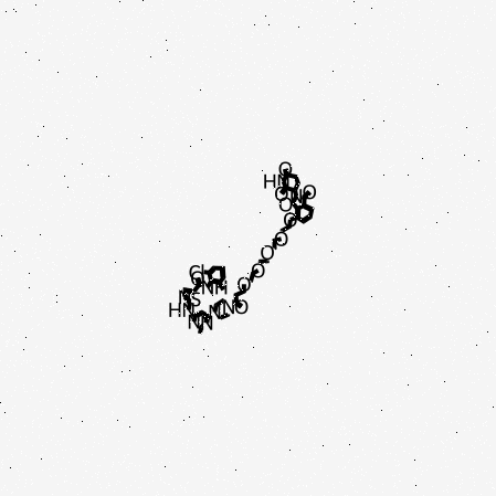 Cc1nc(Nc2ncc(C(=O)Nc3c(C)cccc3Cl)s2)cc(N2CCN(C(=O)CCOCCOCCOCCOCCOc3cccc4c3C(=O)N(C3CCC(=O)NC3=O)C4=O)CC2)n1